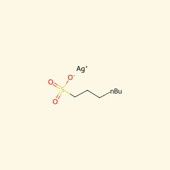 CCCCCCCS(=O)(=O)[O-].[Ag+]